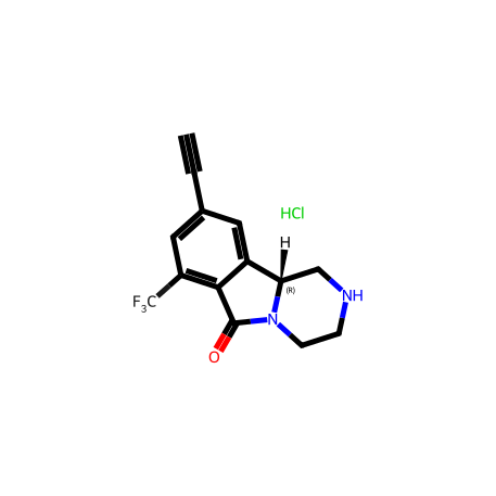 C#Cc1cc2c(c(C(F)(F)F)c1)C(=O)N1CCNC[C@@H]21.Cl